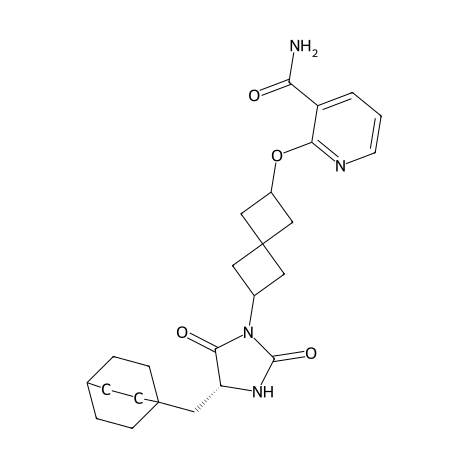 NC(=O)c1cccnc1OC1CC2(C1)CC(N1C(=O)N[C@H](CC34CCC(CC3)CC4)C1=O)C2